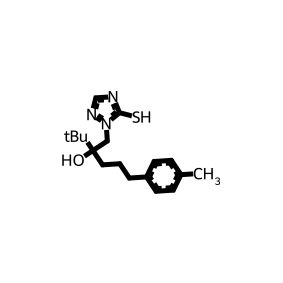 Cc1ccc(CCCC(O)(Cn2ncnc2S)C(C)(C)C)cc1